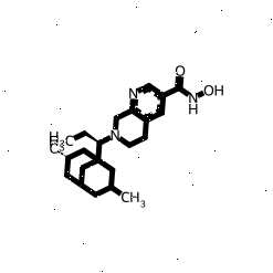 CC[C@@H](N1CCc2cc(C(=O)NO)cnc2C1)C12CC(C)CC(C[C@H](C)C1)C2